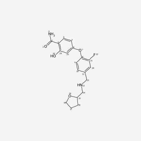 NC(=O)c1ccc(Oc2ccc(CNCC3CCCO3)cc2F)cc1O